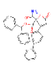 NC(=O)C1(C(=O)OC(c2ccccc2)c2ccccc2)OC(=O)C=C1c1ccc(-c2ccccc2)cc1